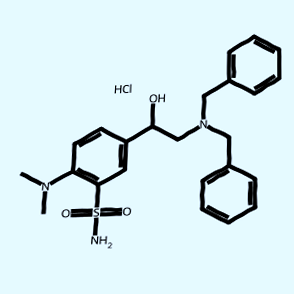 CN(C)c1ccc(C(O)CN(Cc2ccccc2)Cc2ccccc2)cc1S(N)(=O)=O.Cl